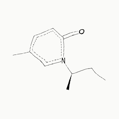 CC[C@@H](C)n1cc(C)ccc1=O